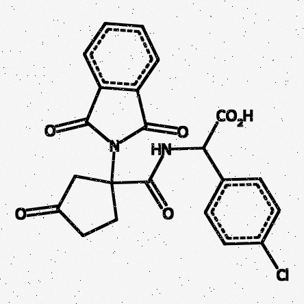 O=C1CCC(C(=O)NC(C(=O)O)c2ccc(Cl)cc2)(N2C(=O)c3ccccc3C2=O)C1